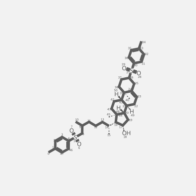 Cc1ccc(S(=O)(=O)CC(C)CCC[C@@H](C)[C@H]2[C@@H](O)C[C@H]3[C@@H]4CC=C5CC(S(=O)(=O)c6ccc(C)cc6)CC[C@]5(C)[C@H]4CC[C@]23C)cc1